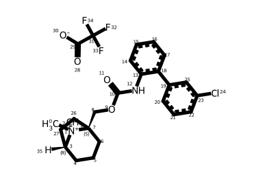 C[N+]1(C)[C@@H]2CCC[C@@]1(COC(=O)Nc1ccccc1-c1cccc(Cl)c1)CC2.O=C([O-])C(F)(F)F